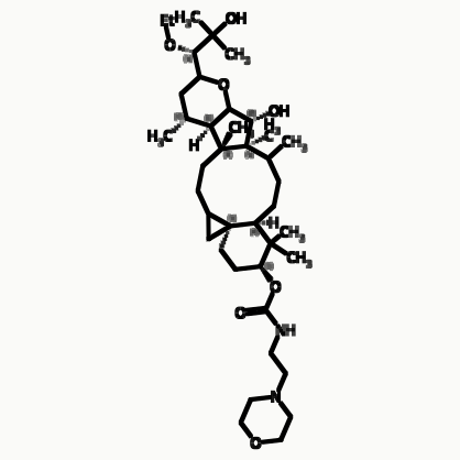 CCO[C@@H](C1C[C@@H](C)[C@H]2C(O1)[C@H](O)[C@@]1(C)C(C)CC[C@H]3C(C)(C)[C@@H](OC(=O)NCCN4CCOCC4)CC[C@@]34CC4CC[C@]21C)C(C)(C)O